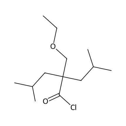 CCOCC(CC(C)C)(CC(C)C)C(=O)Cl